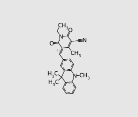 CCN1C(=O)C(C#N)=C(C)/C(=C\c2ccc3c(c2)C(C)(C)c2ccccc2N3C)C1=O